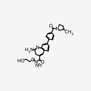 CCCN(OCCO)C(=O)C1=Cc2ccc(-c3ccc(C(=O)N4CC[C@@H](C)C4)cc3)cc2N=C(N)C1